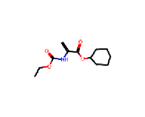 C=C(NC(=O)OCC)C(=O)OC1CCCCC1